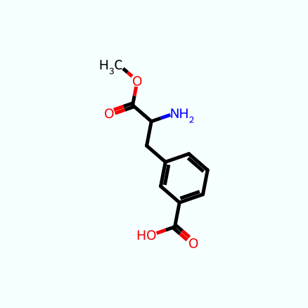 COC(=O)C(N)Cc1cccc(C(=O)O)c1